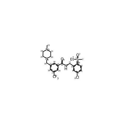 CC[SH](C)(=O)c1ccc(Cl)cc1CNC(=O)c1cc(CN2CCN(C)CC2)cc(C(F)(F)F)c1